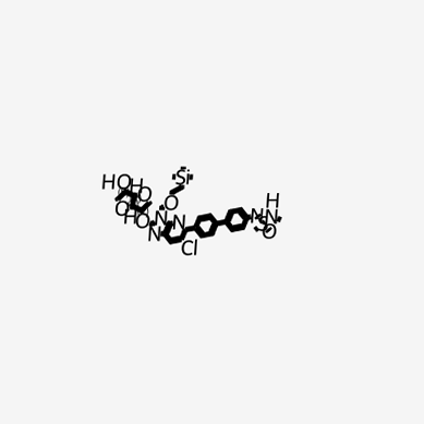 CNS(C)(=O)=Nc1ccc(-c2ccc(-c3nc4c(cc3Cl)nc(O[C@@H]3CO[C@H]5[C@@H]3OC[C@H]5O)n4COCC[Si](C)(C)C)cc2)cc1